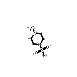 CN1CCN(S([NH])(=O)=O)CC1